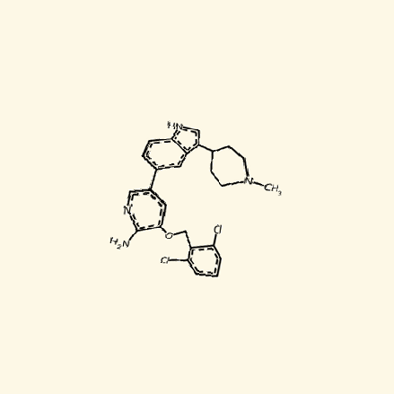 CN1CCC(c2c[nH]c3ccc(-c4cnc(N)c(OCc5c(Cl)cccc5Cl)c4)cc23)CC1